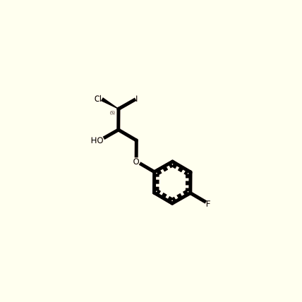 OC(COc1ccc(F)cc1)[C@@H](Cl)I